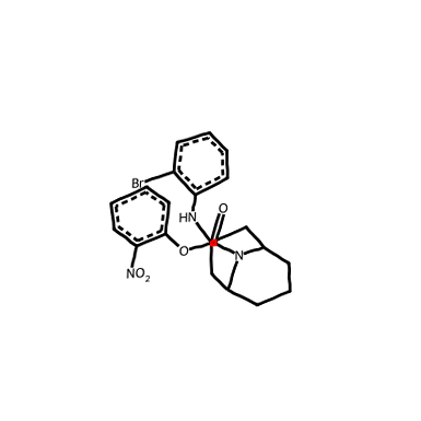 O=C(Oc1ccccc1[N+](=O)[O-])N1C2CCCC1CC(Nc1ccccc1Br)C2